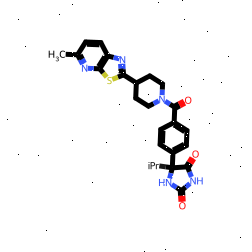 Cc1ccc2nc(C3CCN(C(=O)c4ccc(C5(C(C)C)NC(=O)NC5=O)cc4)CC3)sc2n1